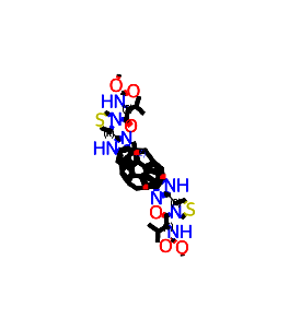 COC(=O)N[C@H](C(=O)N1CSC[C@H]1c1nc2cc(-c3cc4ccc3/C=C(/C)c3ccc(c(-c5ccc6[nH]c([C@@H]7CSCN7C(=O)[C@@H](NC(=O)OC)C(C)C)nc6c5)c3)CC4)ccc2[nH]1)C(C)C